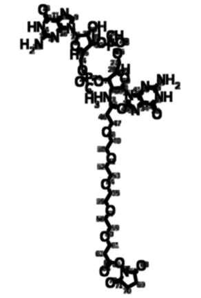 CP1(=O)OC[C@H]2O[C@@H](n3cnc4c(=O)[nH]c(N)nc43)C(O)[C@H]2OP(C)(=O)OC[C@H]2O[C@@H](n3cnc4c(=O)[nH]c(N)nc43)[C@@H](NC(=O)CCOCCOCCOCCOCCOCCC(=O)ON3C(=O)CCC3=O)C2O1